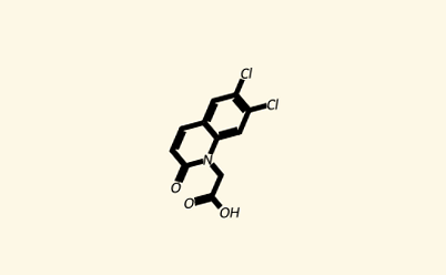 O=C(O)Cn1c(=O)ccc2cc(Cl)c(Cl)cc21